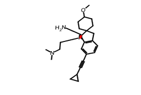 COC1CCC2(CC1)Cc1ccc(C#CC3CC3)cc1C21CN(CCN(C)C)C(N)=N1